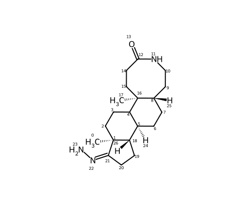 C[C@]12CCC3[C@@H](CC[C@H]4CCNC(=O)CC[C@]34C)[C@@H]1CC/C2=N/N